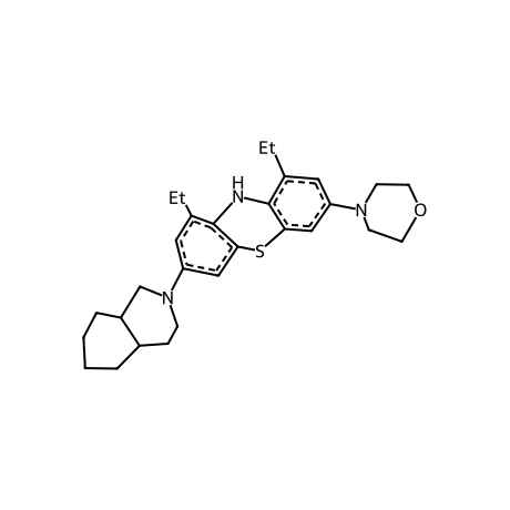 CCc1cc(N2CCOCC2)cc2c1Nc1c(CC)cc(N3CCC4CCCCC4C3)cc1S2